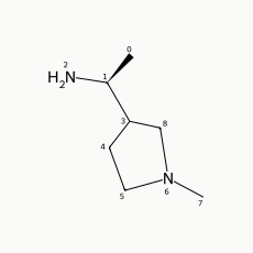 C[C@H](N)C1CCN(C)C1